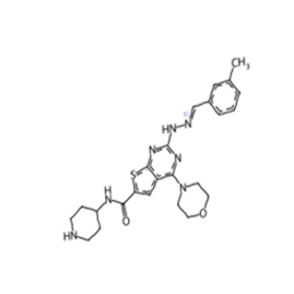 Cc1cccc(/C=N/Nc2nc(N3CCOCC3)c3cc(C(=O)NC4CCNCC4)sc3n2)c1